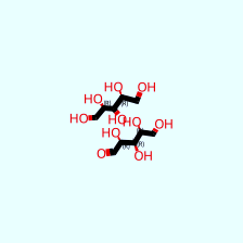 O=C[C@H](O)[C@H](O)[C@H](O)CO.OC[C@@H](O)C(O)[C@H](O)CO